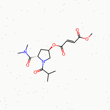 COC(=O)/C=C/C(=O)O[C@@H]1C[C@@H](C(=O)N(C)C)N(C(=O)C(C)C)C1